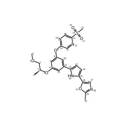 COC[C@H](C)Oc1cc(Oc2cnc(S(C)(=O)=O)cn2)cc(-c2ccc(-c3nnc(C)o3)[nH]2)c1